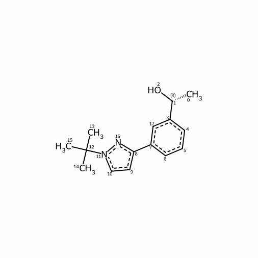 C[C@@H](O)c1cccc(-c2ccn(C(C)(C)C)n2)c1